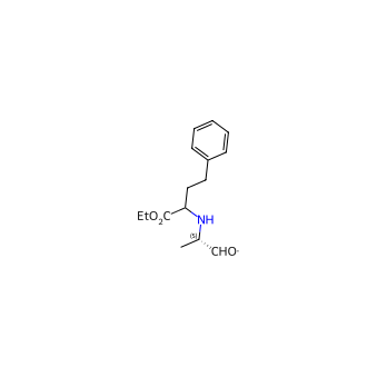 CCOC(=O)C(CCc1ccccc1)N[C@@H](C)[C]=O